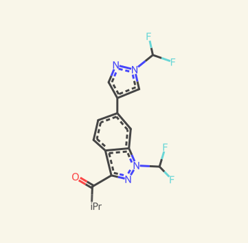 CC(C)C(=O)c1nn(C(F)F)c2cc(-c3cnn(C(F)F)c3)ccc12